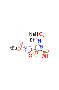 CCC1COCCN1c1cc(C2(S(C)(=O)=O)CCN(C(=O)OC(C)(C)C)CC2)cc([S@@](=O)O)n1.[NaH]